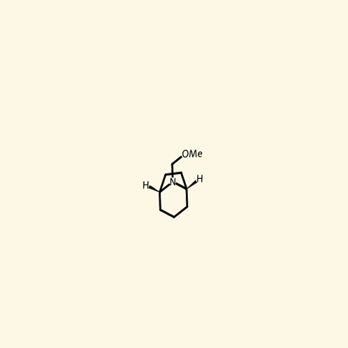 COCN1[C@@H]2CCC[C@H]1CC2